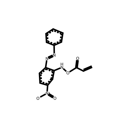 C=CC(=O)ONc1cc([N+](=O)[O-])ccc1N=Nc1ccccc1